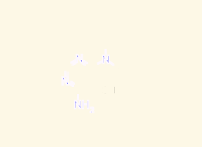 Cc1c(N)ncnc1N1CCCCCC1